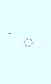 CCCOc1ccc(C(O)CCC=O)cc1